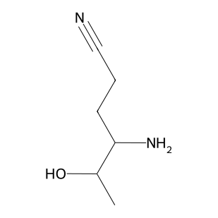 CC(O)C(N)CCC#N